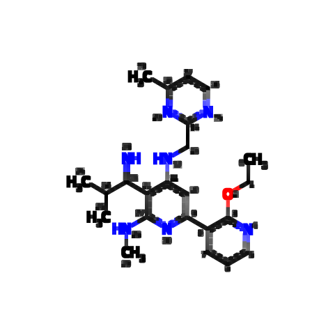 CCOc1ncccc1-c1cc(NCc2nccc(C)n2)c(C(=N)C(C)C)c(NC)n1